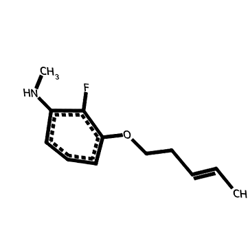 CC=CCCOc1cccc(NC)c1F